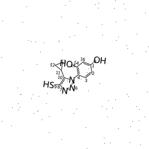 Oc1ccc(-n2nnc(S)c2C2CC2)c(O)c1